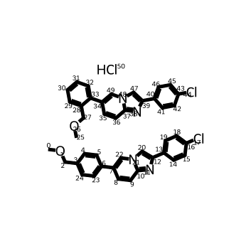 COCc1ccc(-c2ccc3nc(-c4ccc(Cl)cc4)cn3c2)cc1.COCc1ccccc1-c1ccc2nc(-c3ccc(Cl)cc3)cn2c1.Cl